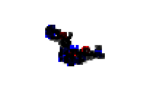 Cc1cc(Nc2ncnc3cnc4c(c23)OC[C@H]2CN4CCN2C(=O)/C=C/CN(C)C)ccc1Oc1ccn2ncnc2c1